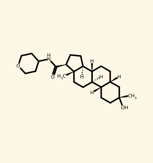 C[C@@]1(O)CC[C@H]2[C@H](CC[C@@H]3[C@@H]2CC[C@]2(C)[C@@H](C(=O)NC4CCOCC4)CC[C@@H]32)C1